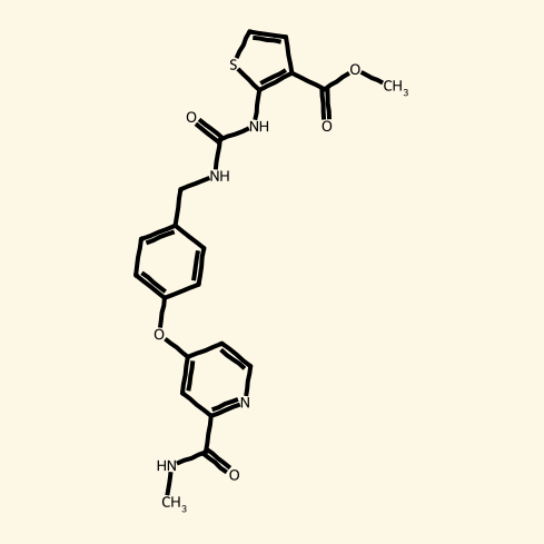 CNC(=O)c1cc(Oc2ccc(CNC(=O)Nc3sccc3C(=O)OC)cc2)ccn1